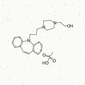 CS(=O)(=O)O.OCCN1CCN(CCCN2c3ccccc3C=Cc3ccccc32)CC1